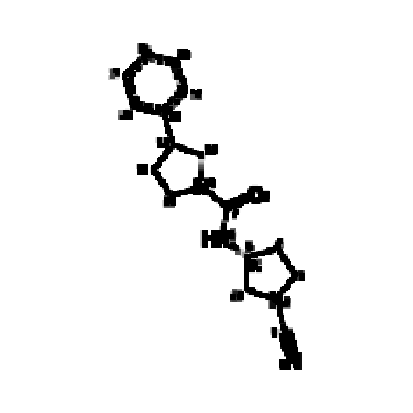 N#CN1CC[C@@H](NC(=O)N2CCC(c3ccccc3)C2)C1